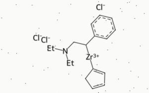 CCN(CC)C[CH]([Zr+3][C]1=CC=CC1)c1ccccc1.[Cl-].[Cl-].[Cl-]